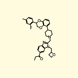 CCC(=O)c1ccc2nc(CN3CCC(c4cccc5c4OCC(c4ccc(C)cc4F)O5)CC3)n(CC3CCO3)c2c1